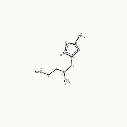 COCCN(C)Cc1cc(N)sn1